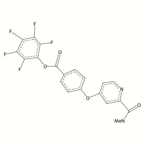 CNC(=O)c1cc(Oc2ccc(C(=O)Oc3c(F)c(F)c(F)c(F)c3F)cc2)ccn1